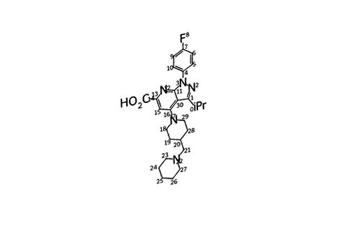 CC(C)c1nn(-c2ccc(F)cc2)c2nc(C(=O)O)cc(N3CCC(CN4CCCCC4)CC3)c12